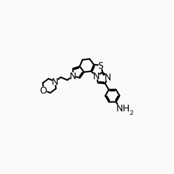 Nc1ccc(-c2cn3c4c(sc3n2)CCc2cn(CCN3CCOCC3)cc2-4)cc1